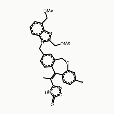 COCc1cccc2c1nc(COC)n2Cc1ccc2c(c1)COc1cc(F)ccc1C2=C(C)c1noc(=O)[nH]1